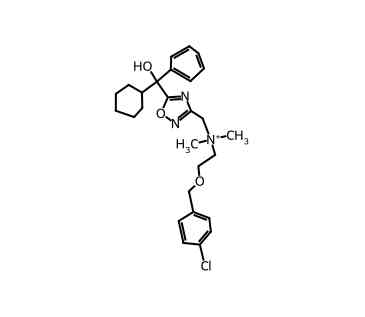 C[N+](C)(CCOCc1ccc(Cl)cc1)Cc1noc(C(O)(c2ccccc2)C2CCCCC2)n1